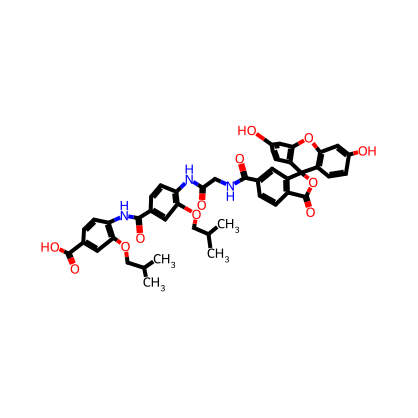 CC(C)COc1cc(C(=O)Nc2ccc(C(=O)O)cc2OCC(C)C)ccc1NC(=O)CNC(=O)c1ccc2c(c1)C1(OC2=O)c2ccc(O)cc2Oc2cc(O)ccc21